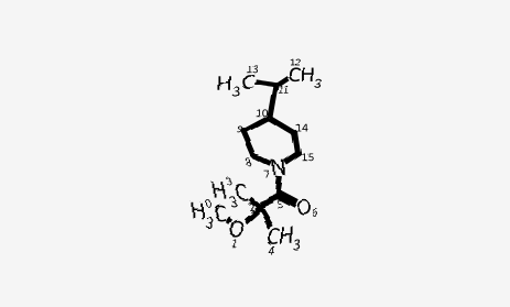 COC(C)(C)C(=O)N1CCC(C(C)C)CC1